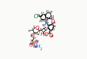 C[C@H]1CO[C@@H]([C@@H]2CC[C@H]2CN2C[C@@]3(CCCc4cc(Cl)ccc43)COc3ccc(C(=O)O)cc32)C[C@H]1OCCS(N)(=O)=O